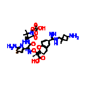 CC1(CNC(=N)c2ccc3c(c2)CC[C@H]([C@](C)(O/N=C(\C(=O)N[C@@H]2C(=O)N(OS(=O)(=O)O)C2(C)C)c2csc(N)n2)C(=O)O)O3)CC(N)C1